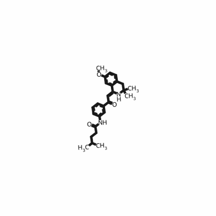 COc1ccc2c(c1)C(=CC(=O)c1cccc(NC(=O)CCC(C)C)c1)NC(C)(C)C2